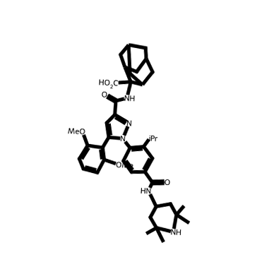 COc1cccc(OC)c1-c1cc(C(=O)NC2(C(=O)O)C3CC4CC(C3)CC2C4)nn1-c1ccc(C(=O)NC2CC(C)(C)NC(C)(C)C2)cc1C(C)C